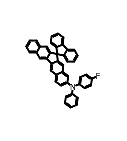 Fc1ccc(N(c2ccccc2)c2ccc3cc4c(cc3c2)C2(c3ccccc3-c3ccccc32)c2cc3ccccc3cc2-4)cc1